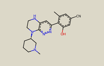 Cc1cc(C#N)cc(O)c1-c1cc2c(nn1)N([C@@H]1CCCN(C)C1)CCN2